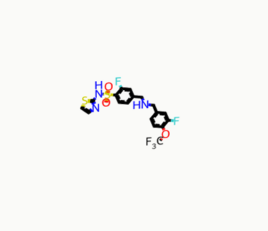 O=S(=O)(Nc1nccs1)c1ccc(CNCc2ccc(OC(F)(F)F)c(F)c2)cc1F